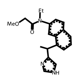 CCN(C(=O)COC)c1ccc2cccc(C(C)c3c[nH]cn3)c2c1